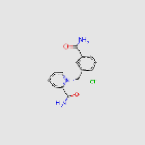 NC(=O)c1cccc(C[n+]2ccccc2C(N)=O)c1.[Cl-]